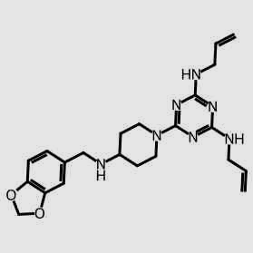 C=CCNc1nc(NCC=C)nc(N2CCC(NCc3ccc4c(c3)OCO4)CC2)n1